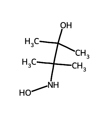 CC(C)(O)C(C)(C)NO